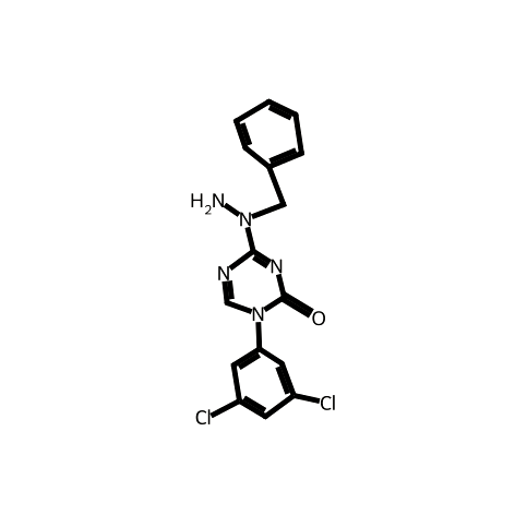 NN(Cc1ccccc1)c1ncn(-c2cc(Cl)cc(Cl)c2)c(=O)n1